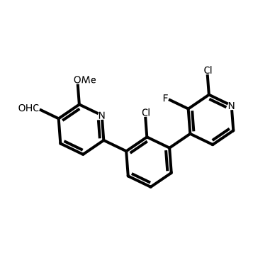 COc1nc(-c2cccc(-c3ccnc(Cl)c3F)c2Cl)ccc1C=O